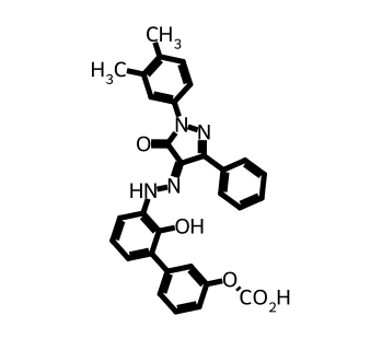 Cc1ccc(N2N=C(c3ccccc3)C(=NNc3cccc(-c4cccc(OC(=O)O)c4)c3O)C2=O)cc1C